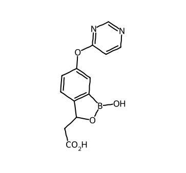 O=C(O)CC1OB(O)c2cc(Oc3ccncn3)ccc21